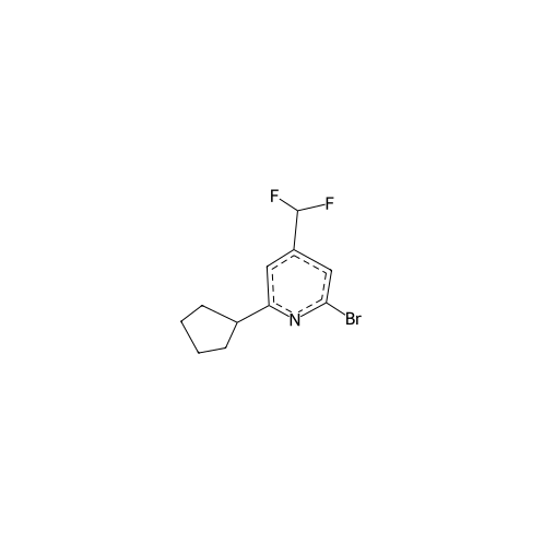 FC(F)c1cc(Br)nc(C2CCCC2)c1